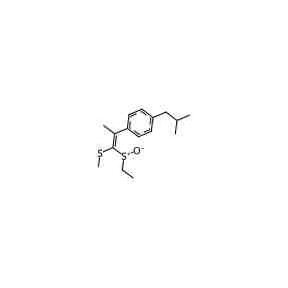 CC[S+]([O-])C(SC)=C(C)c1ccc(CC(C)C)cc1